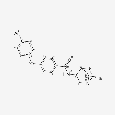 CC(=O)c1ccc(Oc2ccc(C(=O)NC3CN4CCC3CC4C)cc2)cc1